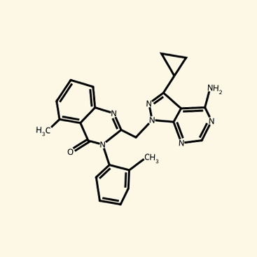 Cc1ccccc1-n1c(Cn2nc(C3CC3)c3c(N)ncnc32)nc2cccc(C)c2c1=O